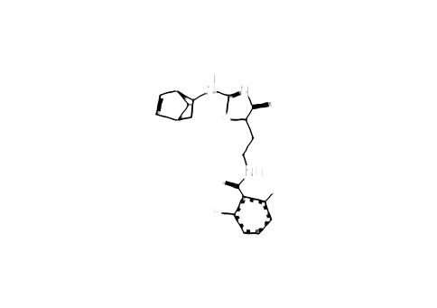 O=C(NCCC1SC(NC2CC3C=CC2C3)=NC1=O)c1c(F)cccc1F